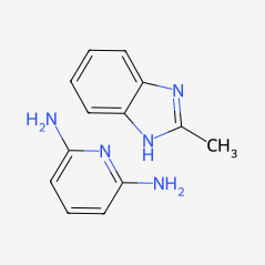 Cc1nc2ccccc2[nH]1.Nc1cccc(N)n1